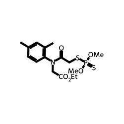 CCOC(=O)CN(C(=O)CSP(=S)(OC)OC)c1ccc(C)cc1C